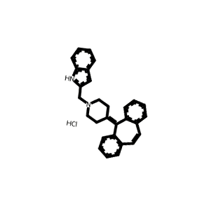 C1=Cc2ccccc2C(=C2CCN(Cc3cc4ccccc4[nH]3)CC2)c2ccccc21.Cl